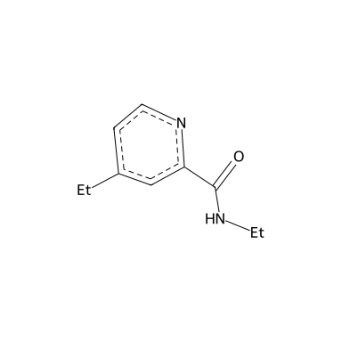 CCNC(=O)c1cc(CC)ccn1